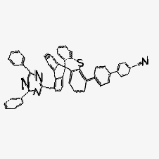 N#Cc1ccc(-c2ccc(-c3cccc4c3Sc3ccccc3C43c4ccccc4-c4c(-c5nc(-c6ccccc6)nc(-c6ccccc6)n5)cccc43)cc2)cc1